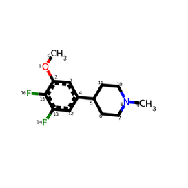 COc1cc(C2CCN(C)CC2)cc(F)c1F